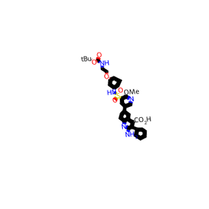 COc1ncc(-c2ccc3nc(N)c(-c4ccccc4)c(C(=O)O)c3c2)cc1S(=O)(=O)Nc1cccc(OCCNC(=O)OC(C)(C)C)c1